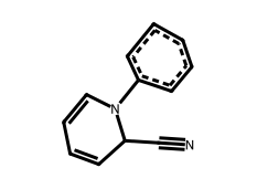 N#CC1C=CC=CN1c1ccccc1